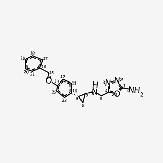 Nc1nnc(CN[C@H]2C[C@@H]2c2ccc(OCc3ccccc3)cc2)o1